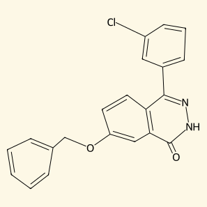 O=c1[nH]nc(-c2cccc(Cl)c2)c2ccc(OCc3ccccc3)cc12